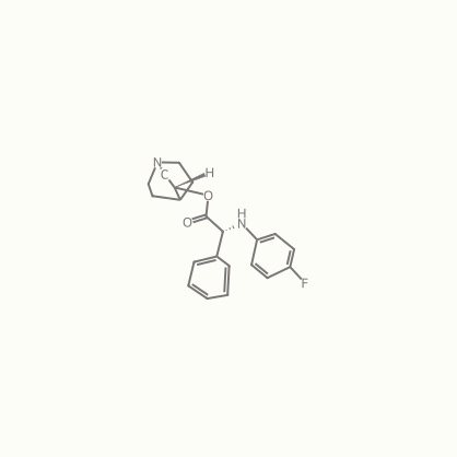 O=C(O[C@H]1CN2CCC1CC2)[C@H](Nc1ccc(F)cc1)c1ccccc1